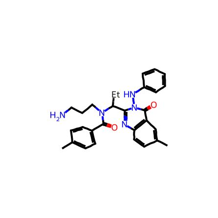 CCC(c1nc2ccc(C)cc2c(=O)n1Nc1ccccc1)N(CCCN)C(=O)c1ccc(C)cc1